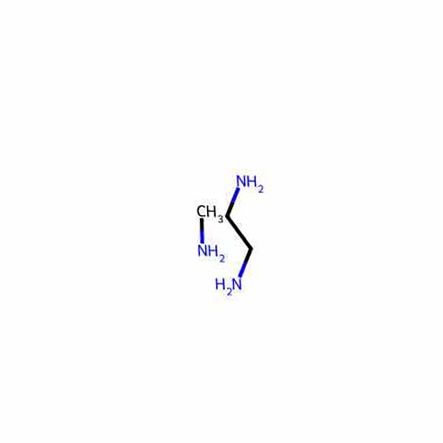 CN.NCCN